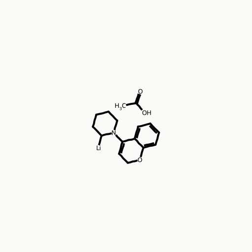 CC(=O)O.[Li][CH]1CCCCN1C1=CCOc2ccccc21